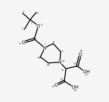 CC(C)(C)OC(=O)N1CCN(C(C(=O)O)C(=O)O)CC1